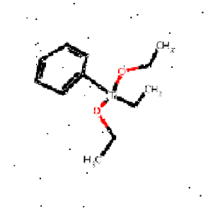 CC[O][Ti]([CH2]C)([O]CC)[c]1ccccc1